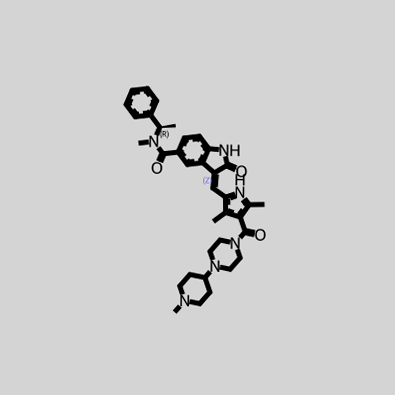 Cc1[nH]c(/C=C2\C(=O)Nc3ccc(C(=O)N(C)[C@H](C)c4ccccc4)cc32)c(C)c1C(=O)N1CCN(C2CCN(C)CC2)CC1